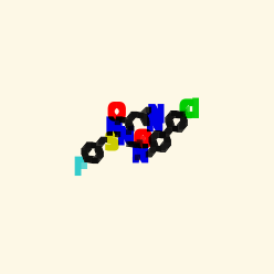 CN(Cc1ccc(-c2ccc(Cl)cc2)cc1)C(=O)Cn1cc(Cc2cnn(C)c2)c(=O)nc1SCc1ccc(F)cc1